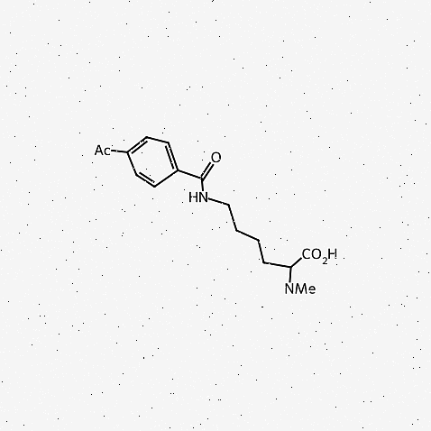 CNC(CCCCNC(=O)c1ccc(C(C)=O)cc1)C(=O)O